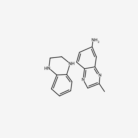 Cc1cnc2ccc(N)cc2n1.c1ccc2c(c1)NCCN2